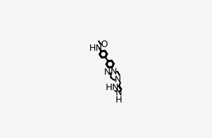 CC(=O)Nc1ccc(-c2ccc3c(c2)nc2n3CCN(CC3=CNCN3)CC2)cc1